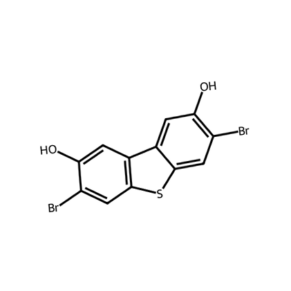 Oc1cc2c(cc1Br)sc1cc(Br)c(O)cc12